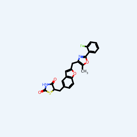 Cc1oc(-c2ccccc2F)nc1Cc1cc2cc(CC3SC(=O)NC3=O)ccc2o1